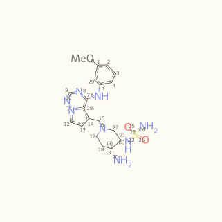 COc1cccc(Nc2ncnn3ccc(CN4CC[C@@H](N)[C@@H](NS(N)(=O)=O)C4)c23)c1